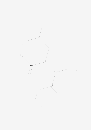 COC(=O)N(C)C(CC(C)C)C(N)=O